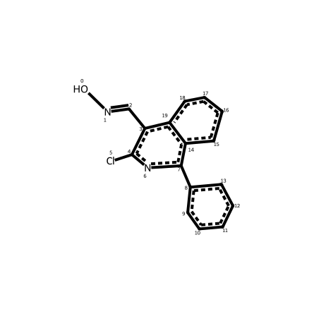 ON=Cc1c(Cl)nc(-c2ccccc2)c2ccccc12